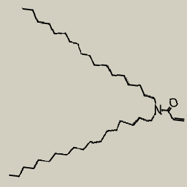 C=CC(=O)N(CCCCCCCCCCCCCCCCCC)CCCCCCCCCCCCCCCCCC